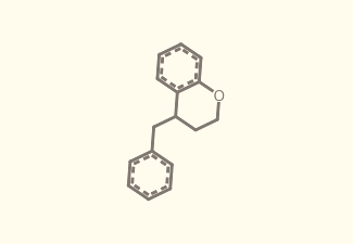 c1ccc(CC2CCOc3ccccc32)cc1